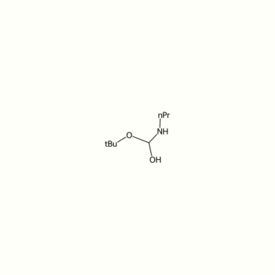 CCCNC(O)OC(C)(C)C